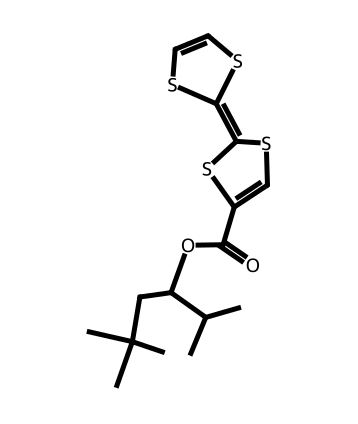 CC(C)C(CC(C)(C)C)OC(=O)C1=CSC(=C2SC=CS2)S1